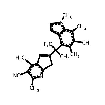 Cc1nc2c(c(C)c1C#N)C=C(C(C)(c1c(C)c(C)c(C)c3c1ccn3C)C(F)(F)F)C2